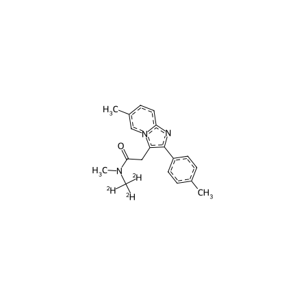 [2H]C([2H])([2H])N(C)C(=O)Cc1c(-c2ccc(C)cc2)nc2ccc(C)cn12